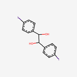 OC(c1ccc(I)cc1)C(O)c1ccc(I)cc1